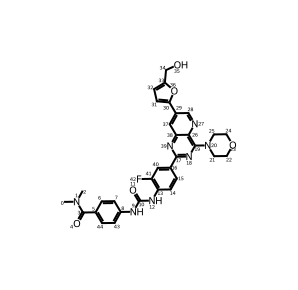 CN(C)C(=O)c1ccc(NC(=O)Nc2ccc(-c3nc(N4CCOCC4)c4ncc(-c5ccc(CO)o5)cc4n3)cc2F)cc1